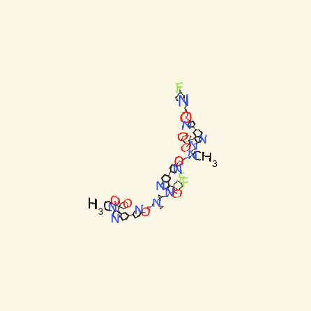 CN(CCCOc1ccc(-c2ccc3ncc4c(c3c2)C2(CCC(F)(F)CC2)C(=O)N4CC2CC2N(CCCOc2ccc(-c3ccc4ncc5c(c4c3)C3(CCOCC3)C(=O)N5C)cn2)C2CC2)cn1)CCN1C(=O)C2(CCOCC2)c2c1cnc1ccc(-c3ccc(OCCCN4CCC(F)C4)nc3)cc21